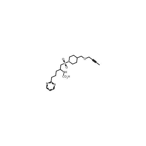 CC#CCOCC1CCN(S(=O)(=O)CC(CCCc2ncccn2)NC(=O)O)CC1